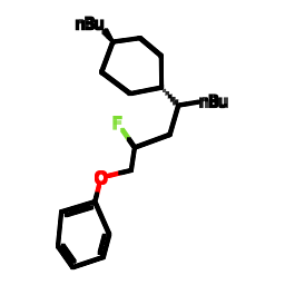 CCCCC(CC(F)COc1ccccc1)[C@H]1CC[C@H](CCCC)CC1